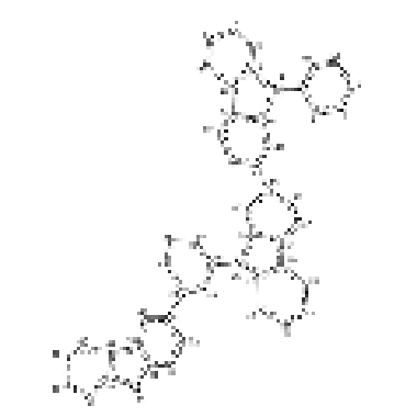 c1ccc(-n2c3ccccc3c3ccc(-c4ccc5c6ccccc6n(-c6cccc(-c7ccc8oc9ccccc9c8c7)c6)c5c4)cc32)cc1